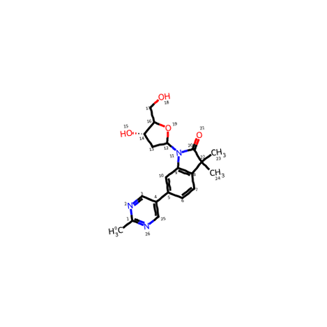 Cc1ncc(-c2ccc3c(c2)N(C2C[C@H](O)C(CO)O2)C(=O)C3(C)C)cn1